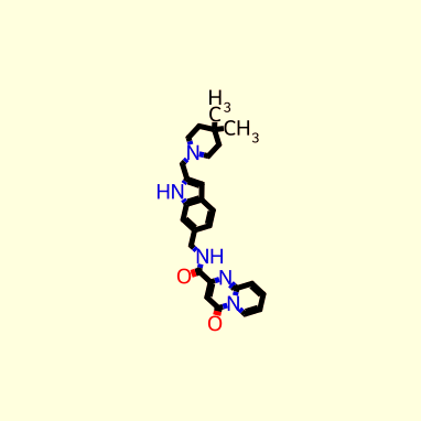 CC1(C)CCN(Cc2cc3ccc(CNC(=O)c4cc(=O)n5ccccc5n4)cc3[nH]2)CC1